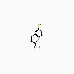 O=C(O)C1CCc2cc(F)ccc2C1